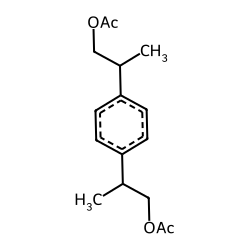 CC(=O)OCC(C)c1ccc(C(C)COC(C)=O)cc1